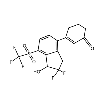 O=C1C=C(c2ccc(S(=O)(=O)C(F)(F)F)c3c2CC(F)(F)C3O)CCC1